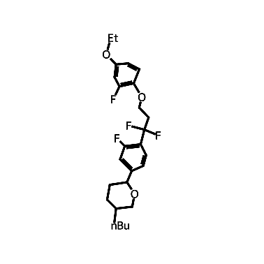 CCCCC1CCC(c2ccc(C(F)(F)CCOc3ccc(OCC)cc3F)c(F)c2)OC1